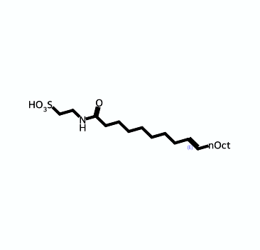 CCCCCCCC/C=C/CCCCCCCC(=O)NCCS(=O)(=O)O